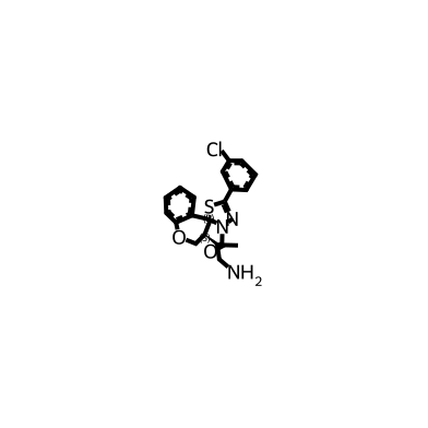 CC(=O)N1N=C(c2cccc(Cl)c2)S[C@]12c1ccccc1OC[C@@H]2CCN